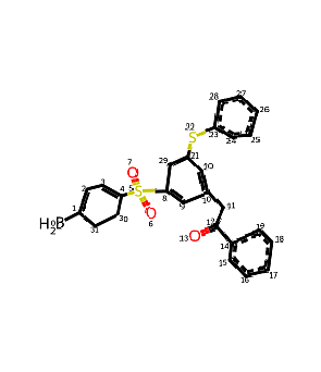 BC1=CC=C(S(=O)(=O)C2=CC(CC(=O)c3ccccc3)=CC(Sc3ccccc3)C2)CC1